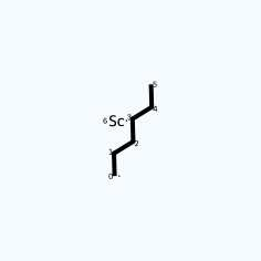 [CH2]CCCCC.[Sc]